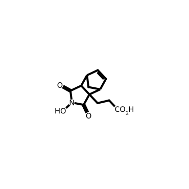 O=C(O)CCC12C(=O)N(O)C(=O)C1C1C=CC2C1